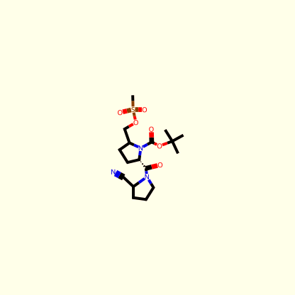 CC(C)(C)OC(=O)N1C(COS(C)(=O)=O)CC[C@H]1C(=O)N1CCCC1C#N